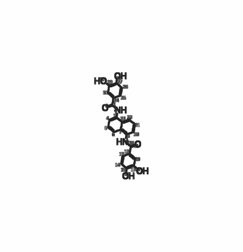 O=C(Nc1cccc2c(NC(=O)c3ccc(O)c(O)c3)cccc12)c1ccc(O)c(O)c1